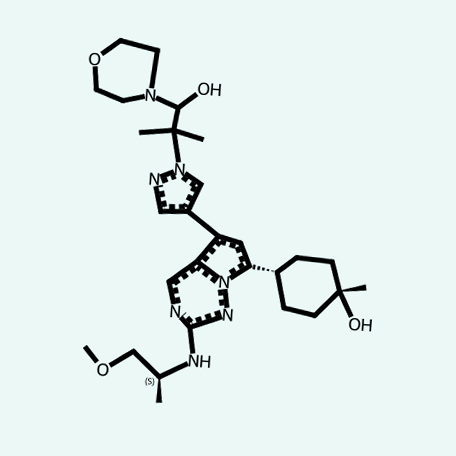 COC[C@H](C)Nc1ncc2c(-c3cnn(C(C)(C)C(O)N4CCOCC4)c3)cc([C@H]3CC[C@@](C)(O)CC3)n2n1